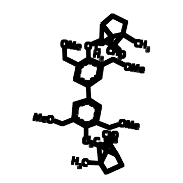 COCc1cc(-c2cc(COC)c(OC3C(=O)C4CCC3(C)C4(C)C)c(COC)c2)cc(COC)c1OC1C(=O)C2(C)CCC1C2(C)C